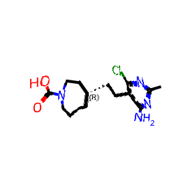 Cc1nc(N)c(CC[C@@H]2CCCN(C(=O)O)CC2)c(Cl)n1